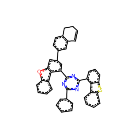 C1=Cc2cc(-c3cc(-c4nc(-c5ccccc5)nc(-c5cccc6sc7ccccc7c56)n4)c4c(c3)oc3ccccc34)ccc2CC1